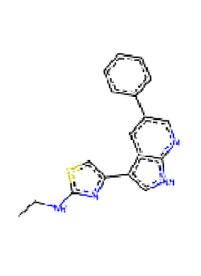 CCNc1nc(-c2c[nH]c3ncc(-c4ccccc4)cc23)cs1